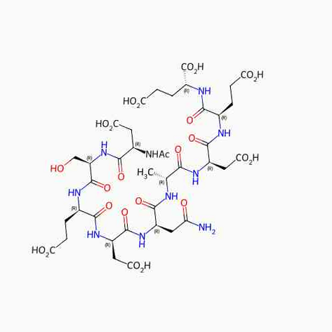 CC(=O)N[C@H](CC(=O)O)C(=O)N[C@H](CO)C(=O)N[C@H](CCC(=O)O)C(=O)N[C@H](CC(=O)O)C(=O)N[C@H](CC(N)=O)C(=O)N[C@H](C)C(=O)N[C@H](CC(=O)O)C(=O)N[C@H](CCC(=O)O)C(=O)N[C@H](CCC(=O)O)C(=O)O